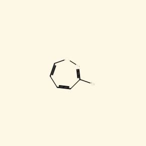 BrC1=NOC=CC=C1